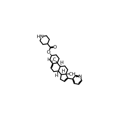 C[C@]12CC[C@H](OC(=O)C3CCNCC3)CC1=CC[C@@H]1[C@@H]2CC[C@]2(C)C(c3cccnc3)=CC[C@@H]12